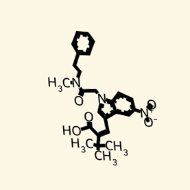 CN(CCc1ccccc1)C(=O)Cn1cc(C=C(C(=O)O)C(C)(C)C)c2cc([N+](=O)[O-])ccc21